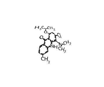 Cc1ccc2c(=O)c3c(OC(C)C)cc(Cl)c(N(C)C)c3[nH]c2c1